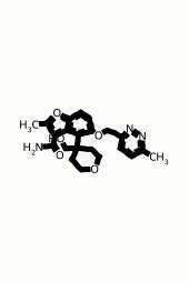 Cc1ccc(COc2ccc3oc(C)c(C(N)=O)c3c2C2(CO)CCOCC2)nn1